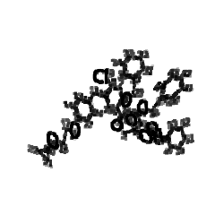 O[C@@]12CO[C@@](c3ccc(Cl)c(Cc4ccc(OCCOC5CC5)cc4)c3)(O1)[C@H](OCc1ccccc1)[C@@H](OCc1ccccc1)[C@@H]2OCc1ccccc1